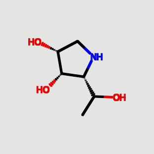 CC(O)[C@H]1NC[C@@H](O)[C@H]1O